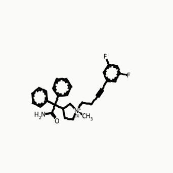 C[N@@+]1(CCC#Cc2cc(F)cc(F)c2)CCC(C(C(N)=O)(c2ccccc2)c2ccccc2)C1